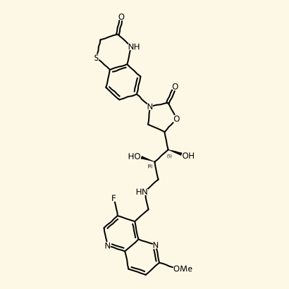 COc1ccc2ncc(F)c(CNC[C@@H](O)[C@H](O)C3CN(c4ccc5c(c4)NC(=O)CS5)C(=O)O3)c2n1